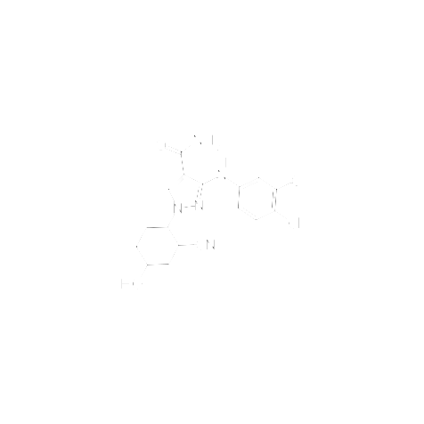 N#CC1CC(O)CCC1n1cc(C(N)=O)c(Nc2ccc(Cl)c(Cl)c2)n1